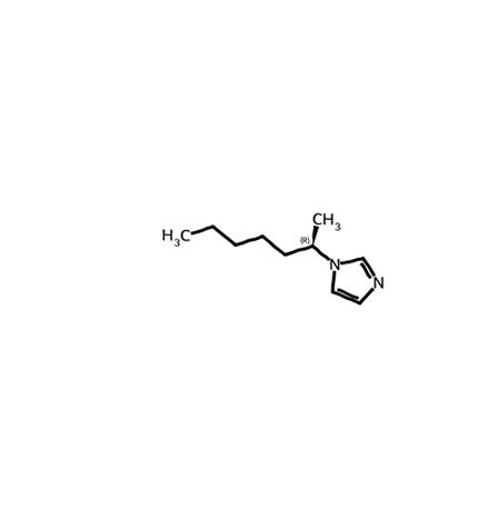 CCCCC[C@@H](C)n1ccnc1